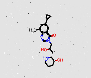 Cc1cc(C2CC2)cc2c(=O)n(CC(O)C[C@H]3NCCC[C@@H]3O)cnc12